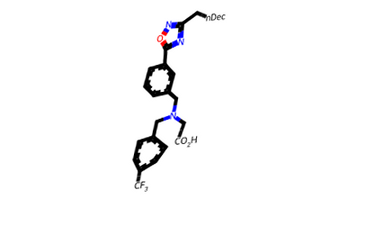 CCCCCCCCCCCc1noc(-c2cccc(CN(CC(=O)O)Cc3ccc(C(F)(F)F)cc3)c2)n1